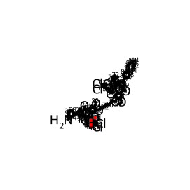 COc1cc2c(cc1OCCCCCOc1cc3c(cc1OC)C(=O)N1C=C(c4cccc(N)c4)C[C@H]1C(O[Si](C)(C)C(C)(C)C)N3C(=O)OCC(Cl)(Cl)Cl)N(C(=O)OCC(Cl)(Cl)Cl)C(O[Si](C)(C)C(C)(C)C)[C@@H]1CC(c3ccc(N4CCN(C)CC4)cc3)=CN1C2=O